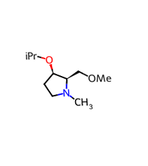 COC[C@@H]1[C@H](OC(C)C)CCN1C